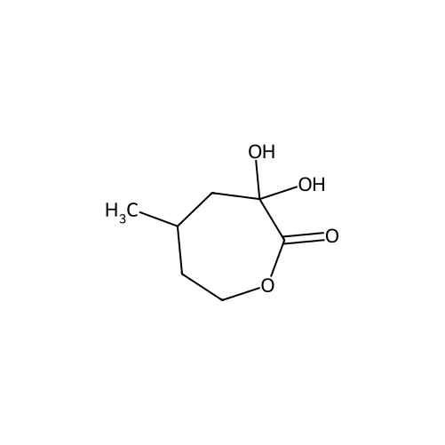 CC1CCOC(=O)C(O)(O)C1